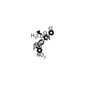 CC1(COc2c(N3CCN(S(=O)(=O)C(F)(F)c4cccc([N+](=O)[O-])c4)CC3)cnn(-c3cccc(Cl)c3)c2=O)CC1